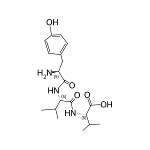 CC(C)[C@H](NC(=O)[C@@H](NC(=O)[C@@H](N)Cc1ccc(O)cc1)C(C)C)C(=O)O